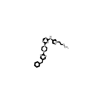 COCCn1cc(Nc2ncnc(N3CCN(c4ncc(Cc5ccccc5)cn4)CC3)n2)cn1